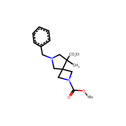 CCOC(=O)C1(C)CN(Cc2ccccc2)CC12CN(C(=O)OC(C)(C)C)C2